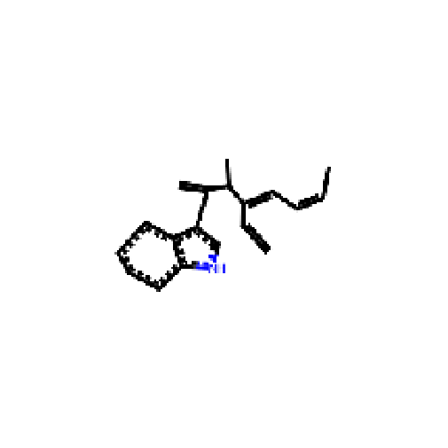 C=C/C(=C\C=C/C)C(C)C(=C)c1c[nH]c2ccccc12